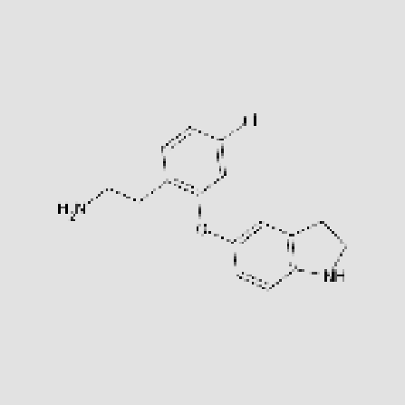 NCCc1ccc(Cl)cc1Oc1ccc2c(c1)CCN2